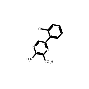 Nc1ncc(-c2ccccc2Cl)nc1C(=O)O